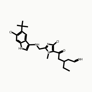 CCC(CC=N)CC(=O)c1c(Cl)nc(CNc2c[nH]c3cc(Cl)c(C(C)(C)C)cc23)n1C